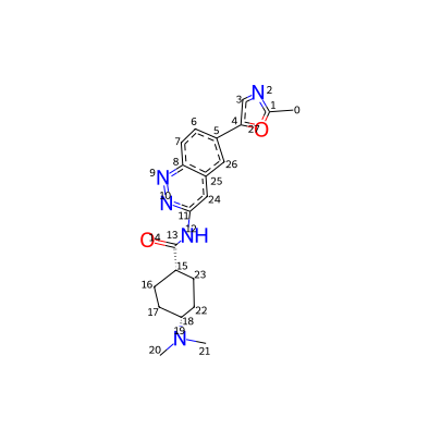 Cc1ncc(-c2ccc3nnc(NC(=O)[C@H]4CC[C@@H](N(C)C)CC4)cc3c2)o1